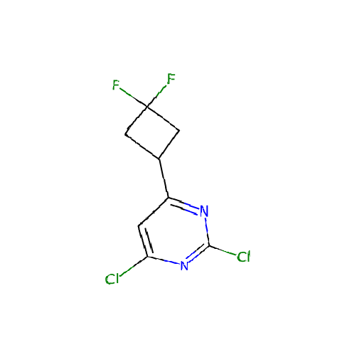 FC1(F)CC(c2cc(Cl)nc(Cl)n2)C1